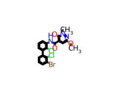 COc1cc(C(=O)Nc2cccc(-c3cccc(Br)c3Cl)c2Cl)c(=O)n(C)n1